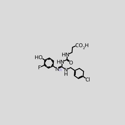 O=C(O)CCNC(=O)N/C(=N\c1ccc(O)c(F)c1)NCC1=CC=C(Cl)CC1